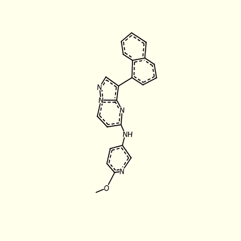 COc1ccc(Nc2ccn3ncc(-c4cccc5ccccc45)c3n2)cn1